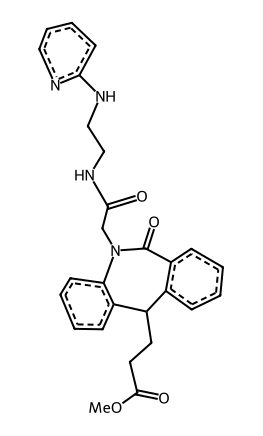 COC(=O)CCC1c2ccccc2C(=O)N(CC(=O)NCCNc2ccccn2)c2ccccc21